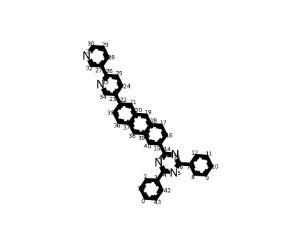 c1ccc(-c2nc(-c3ccccc3)nc(-c3ccc4cc5cc(-c6ccc(-c7cccnc7)nc6)ccc5cc4c3)n2)cc1